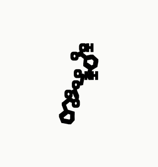 O=C(COC1=COC(Cc2ccccc2)O1)Nc1cccc(C(=O)O)c1